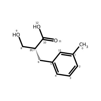 Cc1cccc(C[C@H](CO)C(=O)O)c1